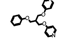 c1ccc(OCC(COc2ccncc2)COc2ccncc2)cc1